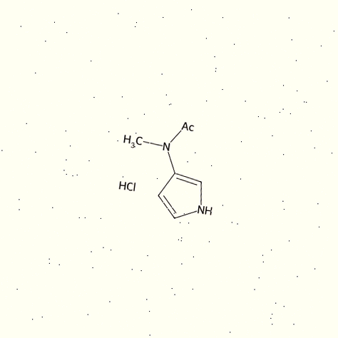 CC(=O)N(C)c1cc[nH]c1.Cl